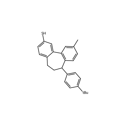 Cc1ccc2c(c1)-c1cc(S)ccc1CCC2c1ccc(C(C)(C)C)cc1